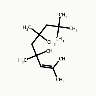 CC(C)=CC(C)(C)CC(C)(C)CC(C)(C)C